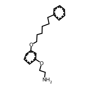 NCCOc1cccc(OCCCCCCc2ccccc2)c1